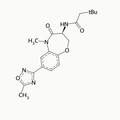 Cc1nc(-c2ccc3c(c2)N(C)C(=O)[C@@H](NC(=O)CC(C)(C)C)CO3)no1